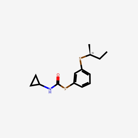 CC[C@H](C)Sc1cccc(SC(=O)NC2CC2)c1